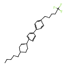 CCCCCC1CCC(c2ccc(-c3ccc(CCCCC(F)(F)F)cc3)cc2)CC1